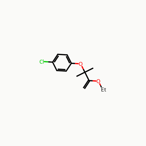 C=C(OCC)C(C)(C)Oc1ccc(Cl)cc1